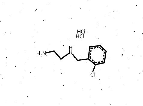 Cl.Cl.NCCNCc1ccccc1Cl